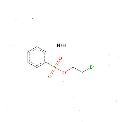 O=S(=O)(OCCBr)c1ccccc1.[NaH]